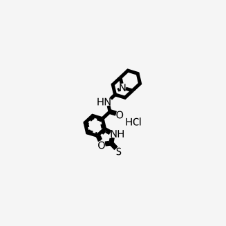 CN1C2CCCC1CC(NC(=O)c1cccc3oc(=S)[nH]c13)C2.Cl